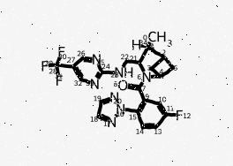 C[C@@H]1C2CC(C2)N(C(=O)c2cc(F)ccc2-n2nccn2)C1CNc1ncc(C(F)(F)F)cn1